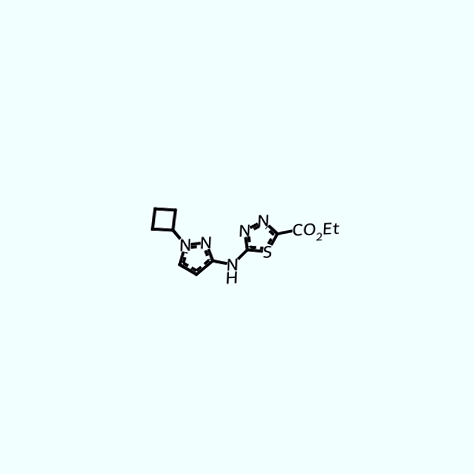 CCOC(=O)c1nnc(Nc2ccn(C3CCC3)n2)s1